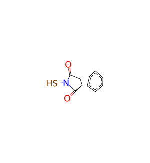 O=C1CCC(=O)N1S.c1ccccc1